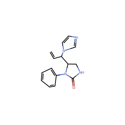 C=CC(C1CNC(=O)N1c1ccccc1)n1ccnc1